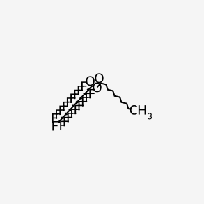 CCCCCCCCCC(=O)OC(=O)C(F)(F)C(F)(F)C(F)(F)C(F)(F)C(F)(F)C(F)(F)C(F)(F)C(F)(F)C(F)(F)F